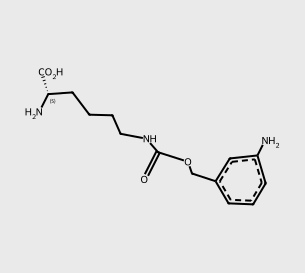 Nc1cccc(COC(=O)NCCCC[C@H](N)C(=O)O)c1